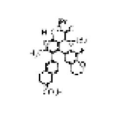 Cc1nc(C)c(C(OC(C)(C)C)C(=O)OC(C)C)c(-c2cc(F)c3c(c2)CCCO3)c1-c1ccc2c(c1)CCN(C(=O)O)C2